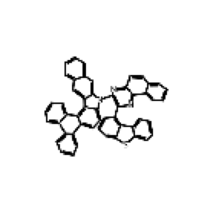 c1ccc2cc3c(cc2c1)c1c2c4ccccc4c4ccccc4c2ccc1n3-c1nc2ccc3ccccc3c2nc1-c1cccc2sc3ccccc3c12